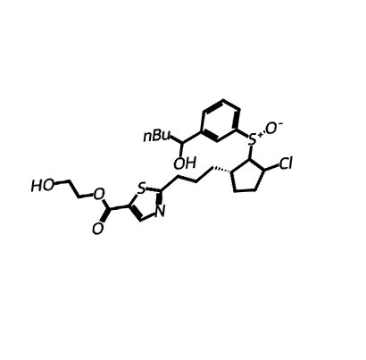 CCCCC(O)c1cccc([S+]([O-])C2C(Cl)CC[C@@H]2CCCc2ncc(C(=O)OCCO)s2)c1